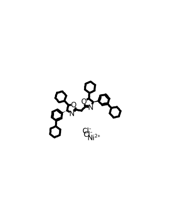 [Cl-].[Cl-].[Ni+2].c1cc(C2CCCCC2)cc([C@H]2N=C(CC3=N[C@H](c4cccc(C5CCCCC5)c4)C(C4CCCCC4)O3)OC2C2CCCCC2)c1